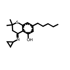 CCCCCc1cc(O)c2c(c1)SC(C)(C)CC2=NC1CC1